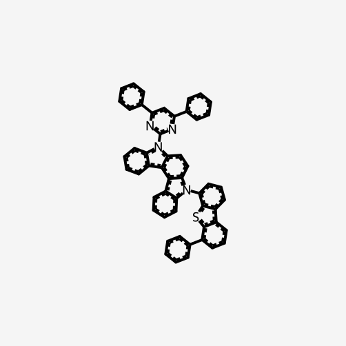 c1ccc(-c2cc(-c3ccccc3)nc(-n3c4ccccc4c4c5c6ccccc6n(-c6cccc7c6sc6c(-c8ccccc8)cccc67)c5ccc43)n2)cc1